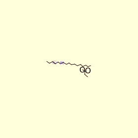 CC/C=C/C/C=C/CCCCCCC(CCC)OC(=O)CC